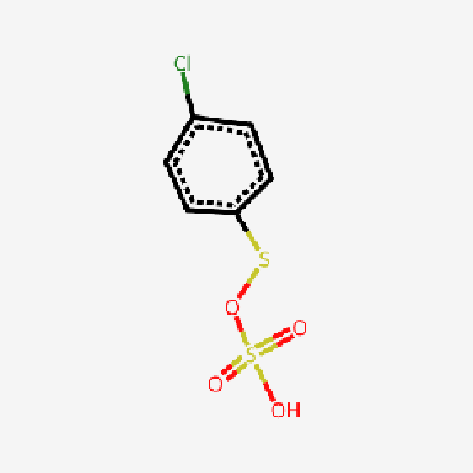 O=S(=O)(O)OSc1ccc(Cl)cc1